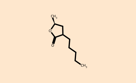 CCCCCC1C[C@H](C)OC1=O